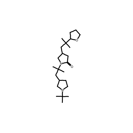 CC(C)(CC1CC(=O)N(C(C)(C)CC2CCN(C(C)(C)C)C2)C1)C1CCCO1